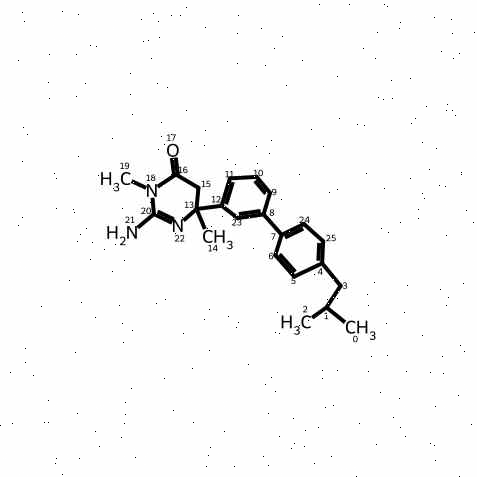 CC(C)Cc1ccc(-c2cccc(C3(C)CC(=O)N(C)C(N)=N3)c2)cc1